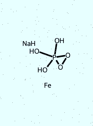 OP1(O)(O)OO1.[Fe].[NaH]